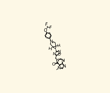 Cn1cnc2ncn(Cc3nc([C@H]4[C@@H]5CN(c6ccc(OC(F)F)cc6)C[C@@H]54)no3)c(=O)c21